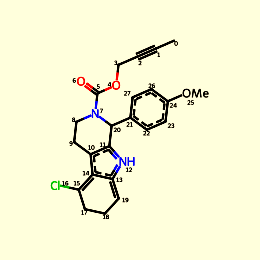 CC#CCOC(=O)N1CCc2c([nH]c3c2=C(Cl)CCC=3)C1c1ccc(OC)cc1